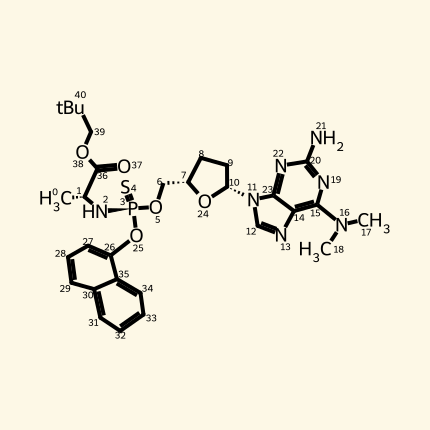 C[C@@H](N[P@@](=S)(OC[C@@H]1CC[C@H](n2cnc3c(N(C)C)nc(N)nc32)O1)Oc1cccc2ccccc12)C(=O)OCC(C)(C)C